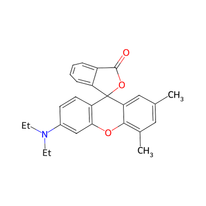 CCN(CC)c1ccc2c(c1)Oc1c(C)cc(C)cc1C21OC(=O)c2ccccc21